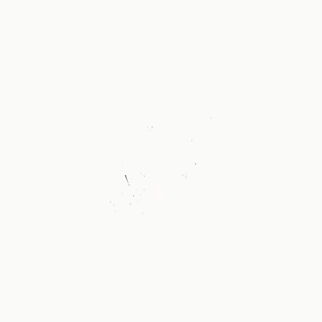 COc1ccccc1-c1cnc(C(=O)N[C@H]2CN3CCC2CC3)s1